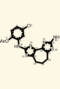 COc1ccc(Cl)cc1Nc1nc2c(s1)CCCc1sc(N)nc1-2